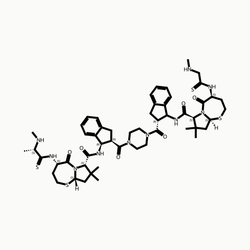 CNCC(=S)N[C@H]1CCS[C@H]2CC(C)(C)[C@@H](C(=O)NC3c4ccccc4C[C@H]3C(=O)N3CCN(C(=O)[C@@H]4Cc5ccccc5[C@@H]4NC(=O)[C@H]4N5C(=O)[C@@H](NC(=S)[C@H](C)NC)CCS[C@H]5CC4(C)C)CC3)N2C1=O